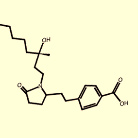 CCCCC[C@](C)(O)CCN1C(=O)CCC1CCc1ccc(C(=O)O)cc1